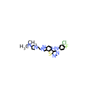 CN(C)[C@@H]1CCN(CCn2cc3c(ccc4c3sc3ncnc(Nc5ccc(F)c(Cl)c5)c34)n2)C1